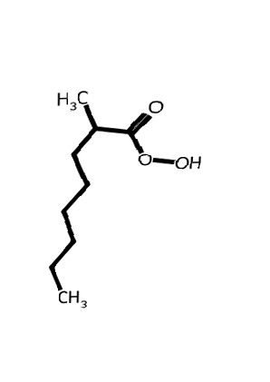 CCCCCCC(C)C(=O)OO